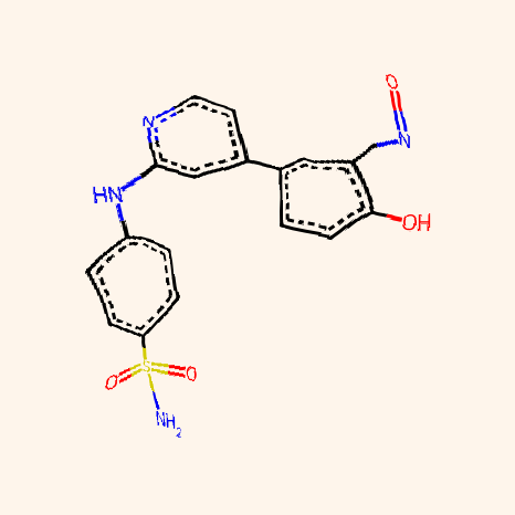 NS(=O)(=O)c1ccc(Nc2cc(-c3ccc(O)c(N=O)c3)ccn2)cc1